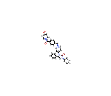 O=C(c1ccc(CN2CCC(N3C(=O)N(C4CCCCC4)CC3c3ccccc3)CC2)cc1)N1CCC(O)CC1